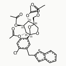 CC(=O)OC[C@@]12CO[C@@](c3ccc(Cl)c(Cc4cc5ccccc5s4)c3)(O1)[C@H](OC(C)=O)[C@@H](OC(C)=O)[C@@H]2OC(C)=O